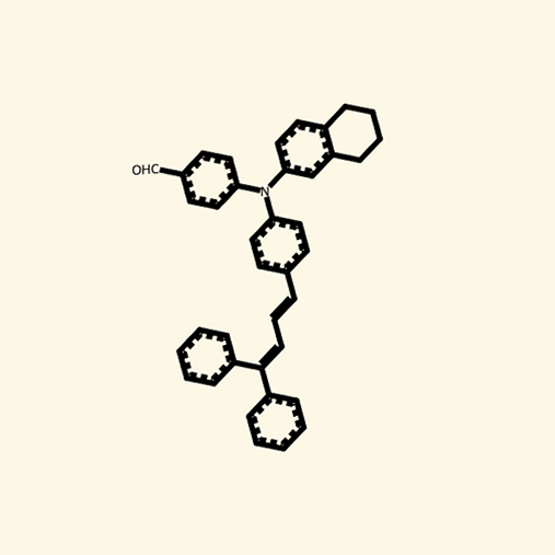 O=Cc1ccc(N(c2ccc(/C=C/C=C(c3ccccc3)c3ccccc3)cc2)c2ccc3c(c2)CCCC3)cc1